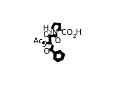 CC(=O)S[C@@H](CC(=O)c1ccccc1)[C@H](C)C(=O)N1CCC[C@H]1C(=O)O